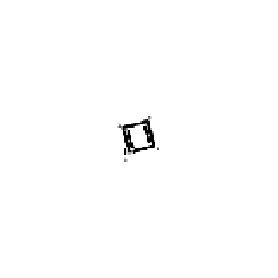 C1=[CH][In]=[CH]1